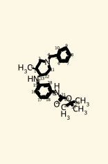 C[C@H]1CN(Cc2ccccc2)CC[C@H]1Nc1cccc(NC(=O)OC(C)(C)C)c1